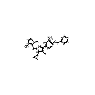 Cc1c(-c2ncc(OCc3ccncc3)c(N)n2)nn(Cc2c(Cl)cnn2C)c1C1CC1